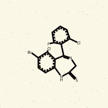 Fc1cccc(Cl)c1C1=NCC(=S)Nc2ccc(Br)c(Cl)c21